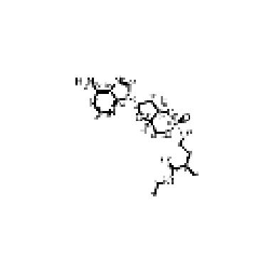 CCOC(=O)C(C)CCO[P@]1(=O)OC[C@@H]2O[C@H](n3cnc4c(N)ncnc43)C[C@H]2O1